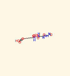 CN(C)[C@H]([C]=O)CCCCNC(=O)[C@H](CCCCNC(=O)CC[C@H](NC(=O)CCCCCCCCCCCOc1ccc(C(=O)O)cc1)C(=O)O)N(C)C